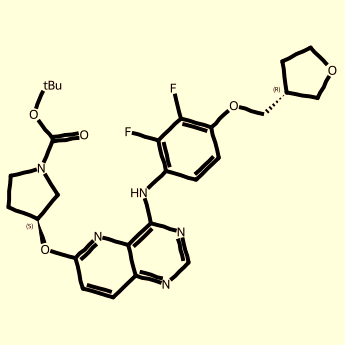 CC(C)(C)OC(=O)N1CC[C@H](Oc2ccc3ncnc(Nc4ccc(OC[C@@H]5CCOC5)c(F)c4F)c3n2)C1